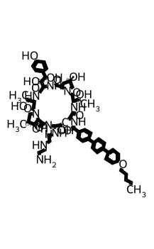 CCCCCOc1ccc(-c2ccc(-c3ccc(C(=O)NC4C[C@@H](O)[C@@H](NCCNCCN)NC(=O)C5[C@@H](O)[C@@H](C)CN5C(=O)C([C@@H](C)O)NC(=O)C([C@H](O)[C@@H](O)c5ccc(O)cc5)NC(=O)C5C[C@@H](O)CN5C(=O)C([C@@H](C)O)NC4=O)cc3)cc2)cc1